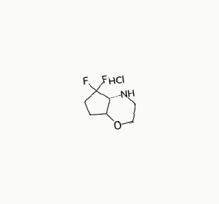 Cl.FC1(F)CCC2OCCNC21